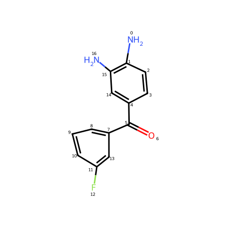 Nc1ccc(C(=O)c2cccc(F)c2)cc1N